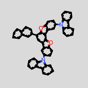 c1ccc2cc(-c3cc4c5cc(-n6c7ccccc7c7ccccc76)ccc5oc4c4c3oc3ccc(-n5c6ccccc6c6ccccc65)cc34)ccc2c1